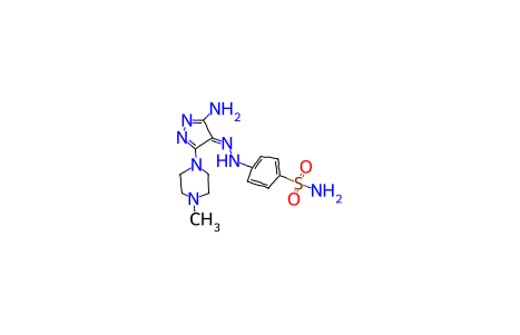 CN1CCN(C2=NN=C(N)/C2=N/Nc2ccc(S(N)(=O)=O)cc2)CC1